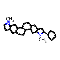 Cn1ccc2cc3ccc4c5cc6c(cc(-c7ccccc7)n6C)cc5ccc4c3cc21